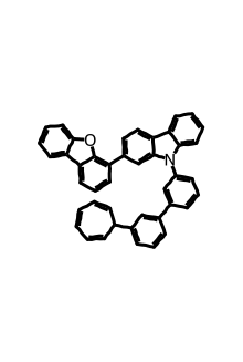 C1=CC=CC(c2cccc(-c3cccc(-n4c5ccccc5c5ccc(-c6cccc7c6oc6ccccc67)cc54)c3)c2)C=C1